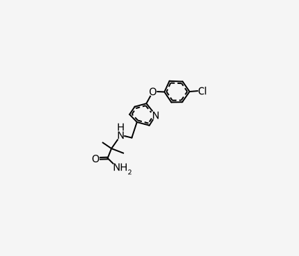 CC(C)(NCc1ccc(Oc2ccc(Cl)cc2)nc1)C(N)=O